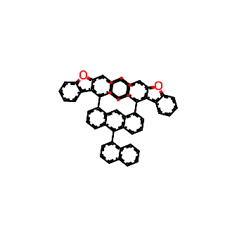 c1ccc2c(-c3c4cccc(-c5c6ccccc6cc6oc7ccccc7c56)c4cc4c(-c5c6ccccc6cc6oc7ccccc7c56)cccc34)cccc2c1